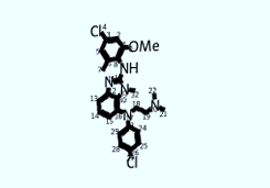 COc1cc(Cl)cc(C)c1Nc1nc2cccc(N(CCN(C)C)c3ccc(Cl)cc3)c2n1C